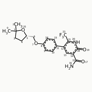 CC1(C)CC[C@@H](COc2ccc(-c3cc(C(N)=O)c(=O)[nH]c3C(F)(F)F)cc2)O1